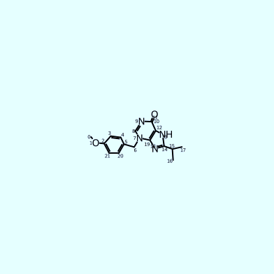 COc1ccc(Cn2cnc(=O)c3[nH]c(C(C)C)nc32)cc1